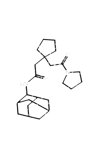 O=C(CC1(CC(=O)N2CCCC2)CCCC1)NC1C2CC3CC(C2)CC1C3